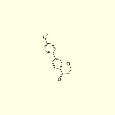 COc1ccc(-c2ccc3c(c2)OCCC3=O)cc1